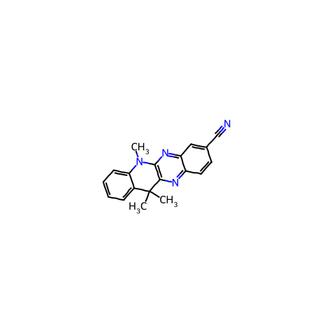 CN1c2ccccc2C(C)(C)c2nc3ccc(C#N)cc3nc21